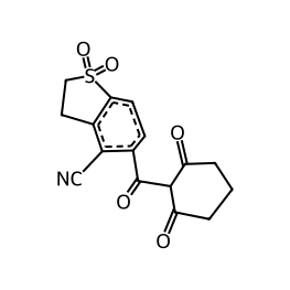 N#Cc1c(C(=O)C2C(=O)CCCC2=O)ccc2c1CCS2(=O)=O